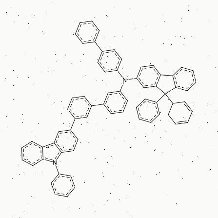 C1=CCC(C2(c3ccccc3)c3ccccc3-c3ccc(N(c4ccc(-c5ccccc5)cc4)c4cccc(-c5cccc(-c6ccc7c(c6)c6ccccc6n7-c6ccccc6)c5)c4)cc32)C=C1